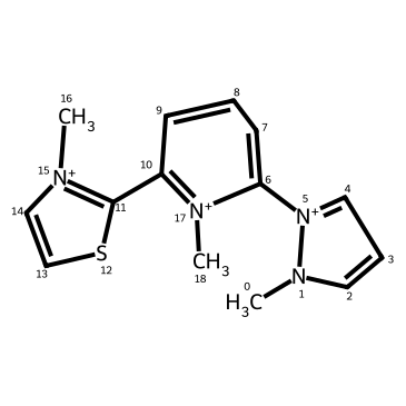 Cn1ccc[n+]1-c1cccc(-c2scc[n+]2C)[n+]1C